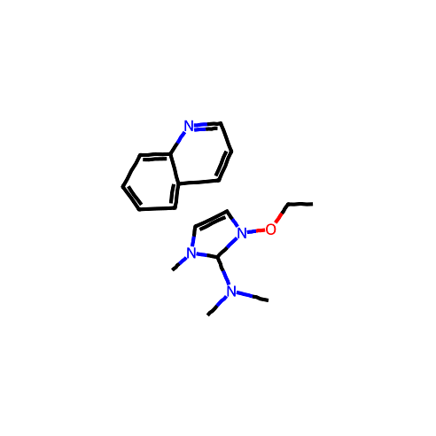 CCON1C=CN(C)C1N(C)C.c1ccc2ncccc2c1